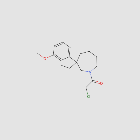 CCC1(c2cccc(OC)c2)CCCCN(C(=O)CCl)C1